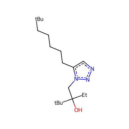 CCC(O)(Cn1nncc1CCCCCC(C)(C)C)C(C)(C)C